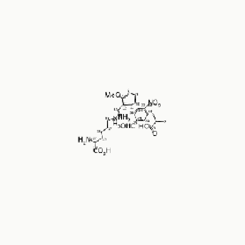 CC(C)C(=O)O.COc1ccccc1CN.NCCCC[C@H](N)C(=O)O.O=Cc1ccc([N+](=O)[O-])cc1